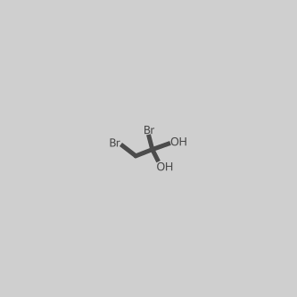 OC(O)(Br)CBr